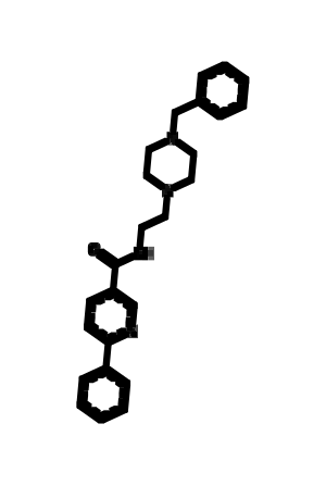 O=C(NCCN1CCN(Cc2ccccc2)CC1)c1ccc(-c2ccccc2)nc1